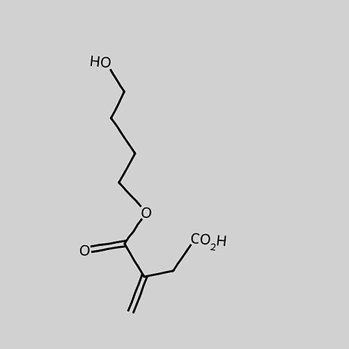 C=C(CC(=O)O)C(=O)OCCCCO